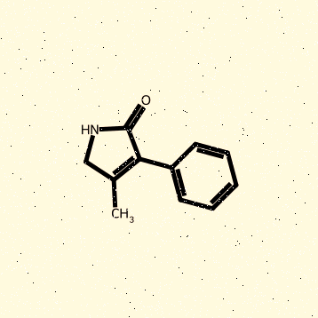 CC1=C(c2ccccc2)C(=O)NC1